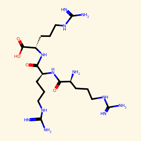 N=C(N)NCCC[C@H](NC(=O)[C@H](CCCNC(=N)N)NC(=O)[C@@H](N)CCCNC(=N)N)C(=O)O